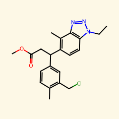 CCn1nnc2c(C)c(C(CC(=O)OC)c3ccc(C)c(CCl)c3)ccc21